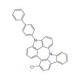 Clc1ccc2c3ccccc3n3c4cccc5c4c4c(cccc4n5-c4ccc(-c5ccccc5)cc4)c1c23